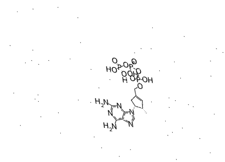 C[C@H]1C=C(COP(=O)(O)OP(=O)(O)OP(=O)(O)O)C[C@H]1n1cnc2c(N)nc(N)nc21